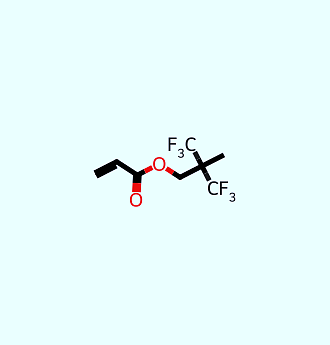 C=CC(=O)OCC(C)(C(F)(F)F)C(F)(F)F